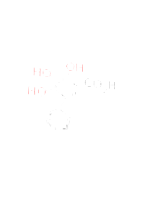 O=C(O)c1cc(-c2ccccc2)c(O)c(O)c1O